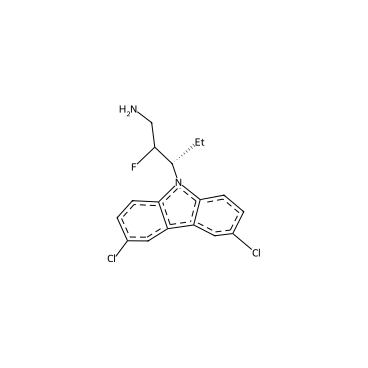 CC[C@@H](C(F)CN)n1c2ccc(Cl)cc2c2cc(Cl)ccc21